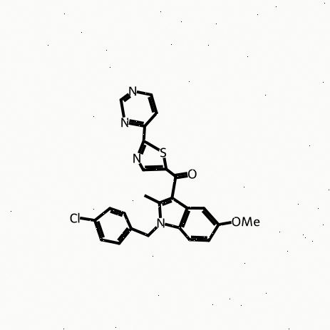 COc1ccc2c(c1)c(C(=O)c1cnc(-c3ccncn3)s1)c(C)n2Cc1ccc(Cl)cc1